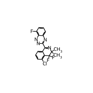 CC1(C)N=C(c2nnc3c(F)cccc3n2)c2cccc(Cl)c2C1(F)F